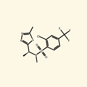 Cc1nnc([C@H](C)N(C)S(=O)(=O)c2ccc(C(F)(F)F)cc2Cl)s1